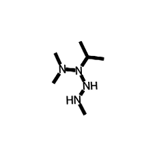 CNNN(C(C)C)N(C)C